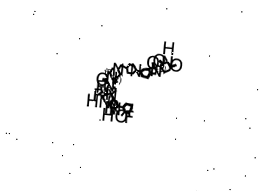 C[C@@H]1CN(CC2CCN(c3ccc4c(c3)C(=O)N([C@H]3CCC(=O)NC3=O)C4)CC2)C[C@@H](C)N1C(=O)N1CCN2c3cc(-c4cccc(F)c4O)nnc3NC[C@]2(C(F)F)C1